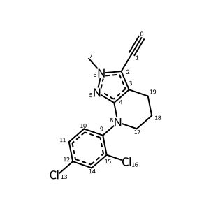 C#Cc1c2c(nn1C)N(c1ccc(Cl)cc1Cl)CCC2